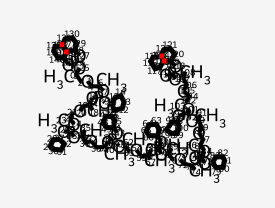 CC(COCC(C)OP(Oc1ccccc1)OC(C)COCC(C)OP(Oc1ccccc1)OC(C)COCC(C)OP(Oc1ccccc1)OC(C)COCC(C)OP(Oc1ccccc1)OC(C)COCC(C)OP(Oc1ccccc1)OC(C)COCC(C)OP(Oc1ccccc1)OC(C)COCC(C)OP(Oc1ccccc1)Oc1ccccc1)OP(Oc1ccccc1)Oc1ccccc1